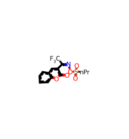 CCCS(=O)(=O)O/N=C(\c1cc2ccccc2oc1=O)C(F)(F)F